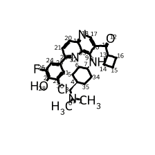 CN(C)C[C@H]1CC[C@H](Nc2c(C(=O)C3CCC3)cnc3ccc(-c4cc(F)c(O)c(Cl)c4)nc23)CC1